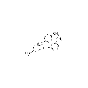 Cc1ccc(C)cc1.Cc1cccc(C)c1.Cc1ccccc1